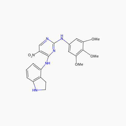 COc1cc(Nc2ncc([N+](=O)[O-])c(Nc3cccc4c3CCN4)n2)cc(OC)c1OC